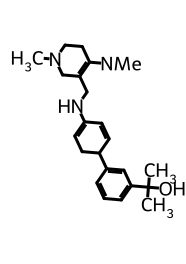 CNC1=C(CNC2=CCC(c3cccc(C(C)(C)O)c3)C=C2)CN(C)CC1